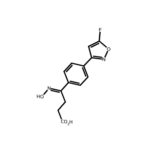 O=C(O)CC/C(=N\O)c1ccc(-c2cc(F)on2)cc1